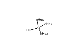 CCCCCC[Si](O)(CCCCCC)CCCCCC